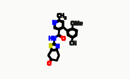 COc1ccc(C#N)cc1-c1cc(C)ncc1C(=O)Nc1nc2c(s1)CC(=O)CC2